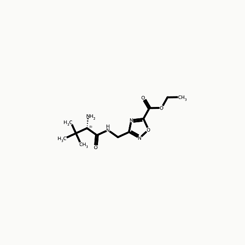 CCOC(=O)c1nc(CNC(=O)[C@@H](N)C(C)(C)C)no1